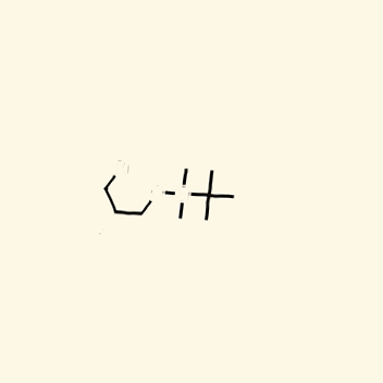 C[C@H](CBr)CO[Si](C)(C)C(C)(C)C